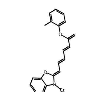 C=C(/C=C/C=C/C=C1\Oc2ccccc2N1CC)Oc1ccccc1C